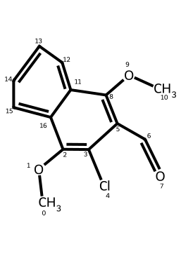 COc1c(Cl)c(C=O)c(OC)c2ccccc12